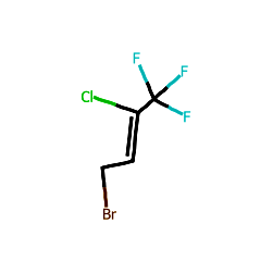 FC(F)(F)/C(Cl)=C/CBr